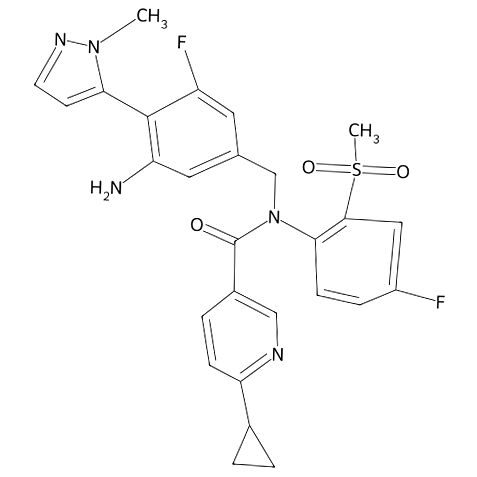 Cn1nccc1-c1c(N)cc(CN(C(=O)c2ccc(C3CC3)nc2)c2ccc(F)cc2S(C)(=O)=O)cc1F